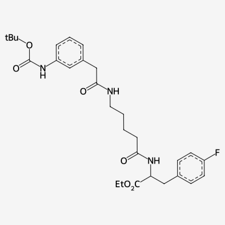 CCOC(=O)C(Cc1ccc(F)cc1)NC(=O)CCCCNC(=O)Cc1cccc(NC(=O)OC(C)(C)C)c1